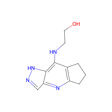 OCCNc1c2c(nc3cn[nH]c13)CCC2